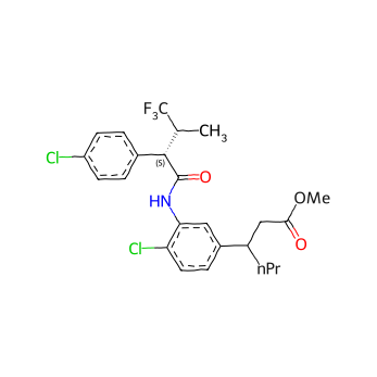 CCCC(CC(=O)OC)c1ccc(Cl)c(NC(=O)[C@H](c2ccc(Cl)cc2)C(C)C(F)(F)F)c1